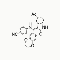 CC(=O)c1ccc2c(c1)/C(=C(\Nc1ccc(C#N)cc1)c1ccc3c(c1)OCCO3)C(=O)N2